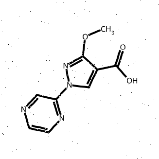 COc1nn(-c2cnccn2)cc1C(=O)O